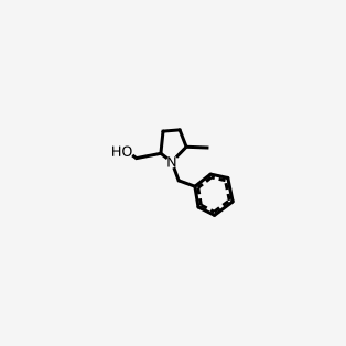 CC1CCC(CO)N1Cc1ccccc1